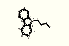 CCCCn1c2ccccc2c2ccncc21